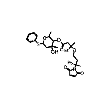 CCC(C)(CC(=O)OC1C(C)OC(Sc2ccccc2)CC1(C)O)OCCC(C)(CC)N1C(=O)C=CC1=O